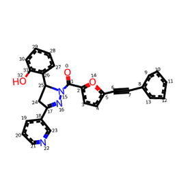 O=C(c1ccc(C#Cc2ccccc2)o1)N1N=C(c2cccnc2)CC1c1ccccc1O